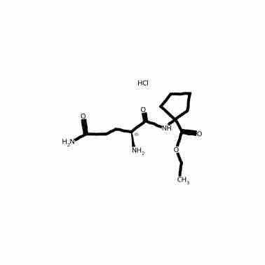 CCOC(=O)C1(NC(=O)[C@@H](N)CCC(N)=O)CCCC1.Cl